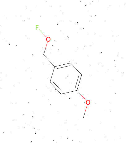 COc1ccc(COF)cc1